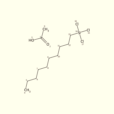 CC(=O)O.CCCCCCCCCC[Si](Cl)(Cl)Cl